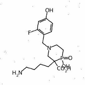 NCCCCC1(C(=O)O)CN(Cc2ccc(O)cc2F)CCP1(=O)O